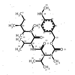 CC[C@H](C)C(C)N(C)C(=O)[C@@H](NC(=O)[C@H](C(C)C)N(C)C(=O)OCc1ccc(NC)cc1)C(C)C